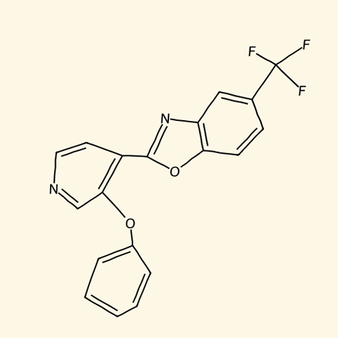 FC(F)(F)c1ccc2oc(-c3ccncc3Oc3ccccc3)nc2c1